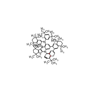 CC(C)(C)c1c#cc(N2c3cc(-c4cc5c(cc4C4=CCCC=C4)C(C)(C)CCC5(C)C)cc4c3B(c3cc5c(cc3N4c3cc(C(C)(C)C)cc(C(C)(C)C)c3)C(C)(C)CCC5(C)C)c3c2sc2c3C(C)(C)CCC2(C)C)cc1